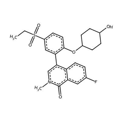 CCS(=O)(=O)c1ccc(OC2CCC(O)CC2)c(-c2cn(C)c(=O)c3cc(F)ccc23)c1